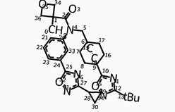 CC1(C(=O)N(CC23CCC(c4nc(C(C)(C)C)no4)(CC2)CC3)c2cccc(-c3nc(C4CC4)no3)c2)COC1